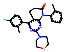 Cc1cc(F)ccc1-c1nc(N2CCOCC2)nc2c1CCC(=O)N2c1ccccc1C